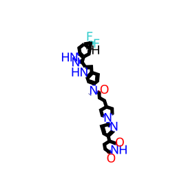 CN(C(=O)CCC1CCN(c2ccc(C3CCC(=O)NC3=O)cn2)CC1)c1ccc2cc(-c3n[nH]c4c3C[C@@H]3C(F)(F)[C@]3(C)C4)[nH]c2c1